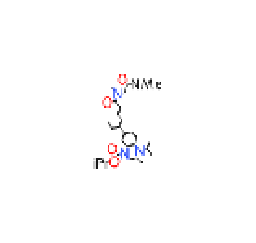 C=C/C(=C\C=C\C(=O)N(C)CC(=O)NC)c1ccc2c(c1)N(C(=O)OC(C)C)CC(C)N2C(=C)C